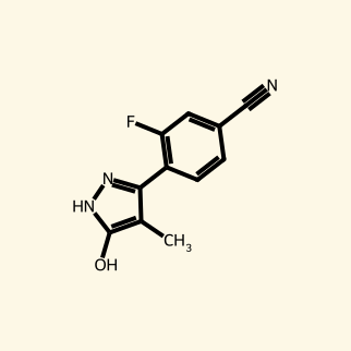 Cc1c(-c2ccc(C#N)cc2F)n[nH]c1O